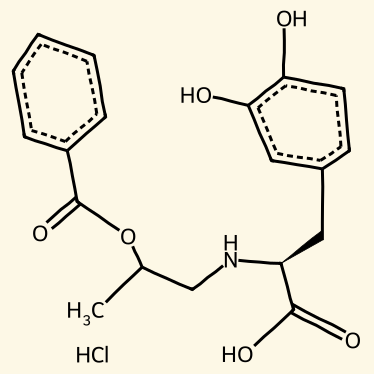 CC(CN[C@@H](Cc1ccc(O)c(O)c1)C(=O)O)OC(=O)c1ccccc1.Cl